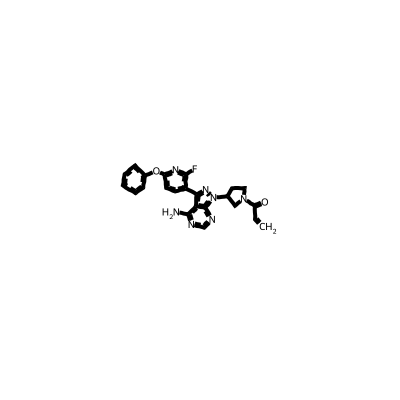 C=CC(=O)N1CCC(n2nc(-c3ccc(Oc4ccccc4)nc3F)c3c(N)ncnc32)C1